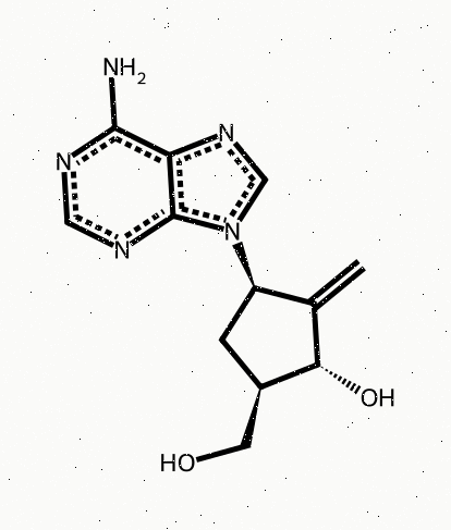 C=C1[C@H](n2cnc3c(N)ncnc32)C[C@H](CO)[C@H]1O